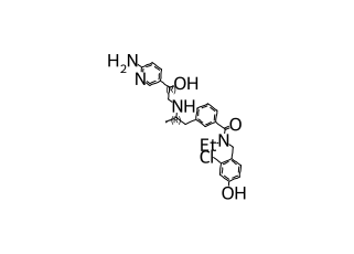 CCN(Cc1ccc(O)cc1Cl)C(=O)c1cccc(C[C@@H](C)NC[C@H](O)c2ccc(N)nc2)c1